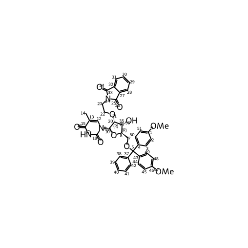 COc1ccc(C(OC[C@H]2O[C@@H](n3cc(C)c(=O)[nH]c3=O)[C@H](OCCN3C(=O)c4ccccc4C3=O)[C@@H]2O)(c2ccccc2)c2ccc(OC)cc2)cc1